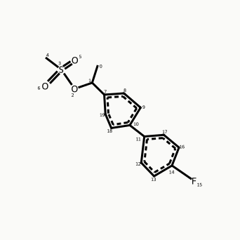 CC(OS(C)(=O)=O)c1ccc(-c2ccc(F)cc2)cc1